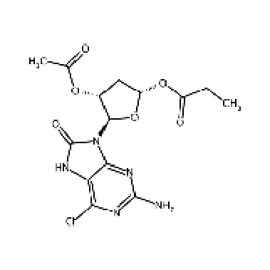 CCC(=O)O[C@H]1C[C@@H](OC(C)=O)[C@H](n2c(=O)[nH]c3c(Cl)nc(N)nc32)O1